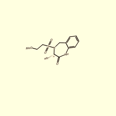 CCC[C@H]1C(=O)Nc2ccccc2CN1S(=O)(=O)CCOC